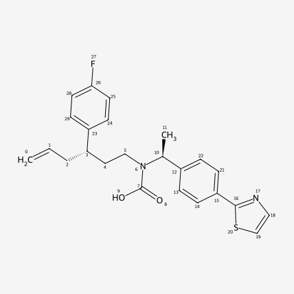 C=CC[C@@H](CCN(C(=O)O)[C@@H](C)c1ccc(-c2nccs2)cc1)c1ccc(F)cc1